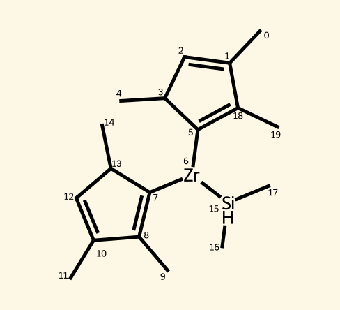 CC1=CC(C)[C]([Zr]([C]2=C(C)C(C)=CC2C)[SiH](C)C)=C1C